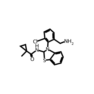 CC1(C(=O)NC2Sc3ccccc3N2c2c(Cl)cccc2CN)CC1